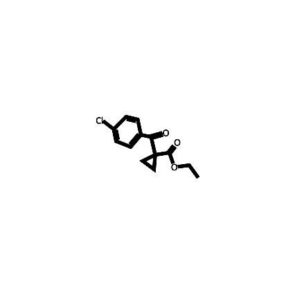 CCOC(=O)C1(C(=O)c2ccc(Cl)cc2)CC1